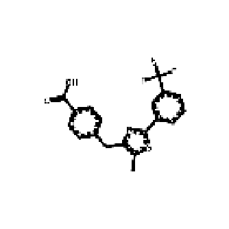 Cc1sc(-c2cccc(C(F)(F)F)c2)nc1Cc1ccc(C(=O)O)cc1